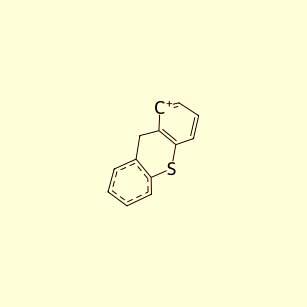 [C+]1=CC=CC2=C1Cc1ccccc1S2